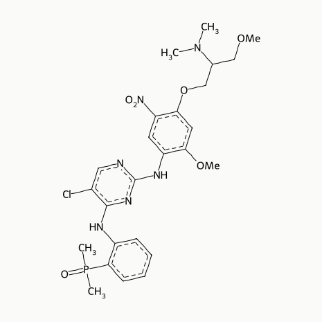 COCC(COc1cc(OC)c(Nc2ncc(Cl)c(Nc3ccccc3P(C)(C)=O)n2)cc1[N+](=O)[O-])N(C)C